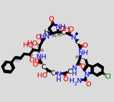 CN1CC(=O)N[C@H](Cc2cn(C(N)=O)c3cc(Cl)ccc23)C(=O)NCC(=O)NC[C@H](O)CC(=O)N[C@H]([C@H](O)[C@@H](O)C/C=C/c2ccccc2)[C@H](O)C(=O)N[C@@H]2CC(=O)N[C@@]2(O)CC1=O